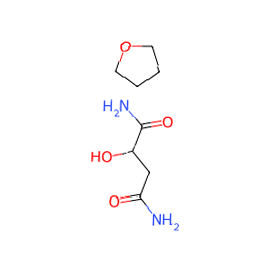 C1CCOC1.NC(=O)CC(O)C(N)=O